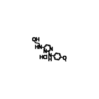 COc1ccc(Nc2nccc(NCCO)n2)cc1.Cl